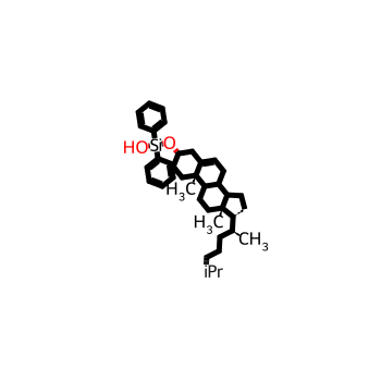 CC(C)CCC[C@@H](C)[C@H]1CCC2C3CC=C4CC(O[Si](O)(c5ccccc5)c5ccccc5)CC[C@]4(C)C3CC[C@@]21C